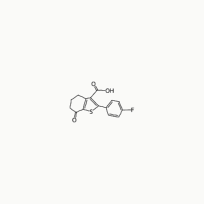 O=C1CCCc2c1sc(-c1ccc(F)cc1)c2C(=O)O